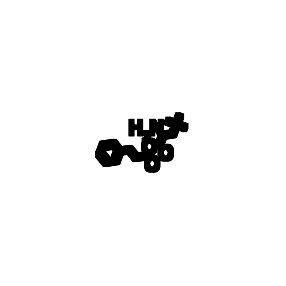 CC(C)(C)CC(N)C(=O)OC(=O)CCc1ccccc1